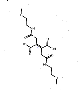 COCCNC(=O)C/C(C(=O)O)=C(/CC(=O)NCCOC)C(=O)O